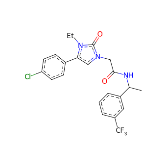 CCn1c(-c2ccc(Cl)cc2)cn(CC(=O)NC(C)c2cccc(C(F)(F)F)c2)c1=O